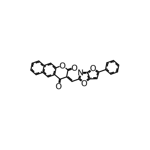 O=C1Oc2cc3ccccc3cc2C(=O)/C1=C/c1nc2oc(-c3ccccc3)cc2o1